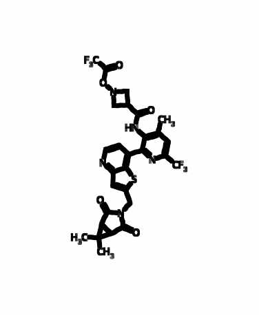 Cc1cc(C(F)(F)F)nc(-c2ccnc3cc(CN4C(=O)C5C(C4=O)C5(C)C)sc23)c1NC(=O)C1CN(OC(=O)C(F)(F)F)C1